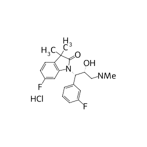 CNC[C@@H](O)[C@H](c1cccc(F)c1)N1C(=O)C(C)(C)c2ccc(F)cc21.Cl